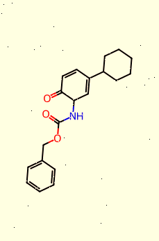 O=C(NC1C=C(C2CCCCC2)C=CC1=O)OCc1ccccc1